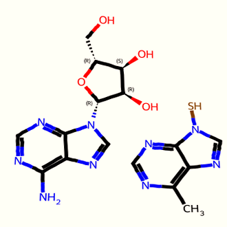 Cc1ncnc2c1ncn2S.Nc1ncnc2c1ncn2[C@@H]1O[C@H](CO)[C@@H](O)[C@H]1O